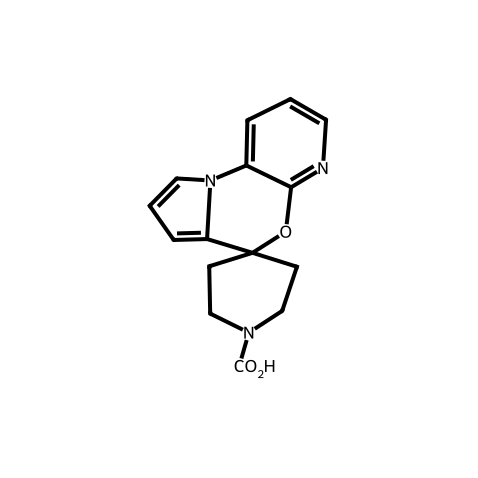 O=C(O)N1CCC2(CC1)Oc1ncccc1-n1cccc12